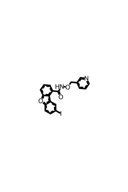 O=C(NOCc1cccnc1)c1cccc2oc3ccc(I)cc3c12